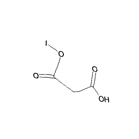 O=C(O)CC(=O)OI